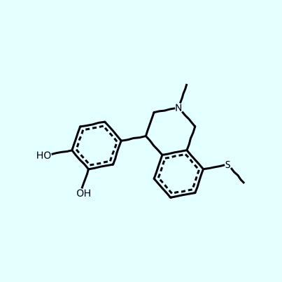 CSc1cccc2c1CN(C)CC2c1ccc(O)c(O)c1